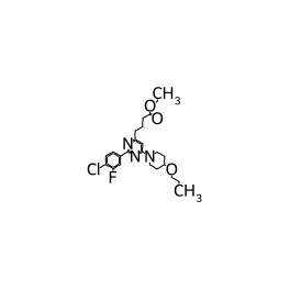 CCCOC1CCN(c2cc(CCCC(=O)OCC)nc(-c3ccc(Cl)c(F)c3)n2)CC1